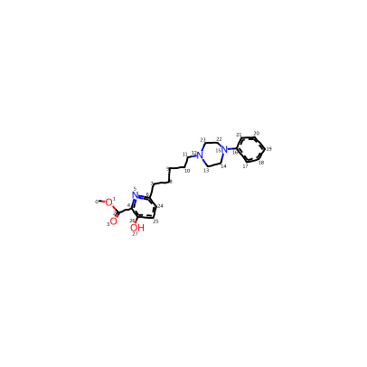 COC(=O)c1nc(CCCCCN2CCN(c3ccccc3)CC2)ccc1O